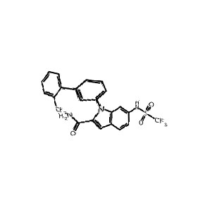 NC(=O)c1cc2ccc(NS(=O)(=O)C(F)(F)F)cc2n1-c1cccc(-c2ccccc2C(F)(F)F)c1